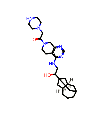 O=C(CN1CCNCC1)N1CCc2c(ncnc2NCC(O)C23CC4CCC[C@@H](C2)[C@H](C4)C3)C1